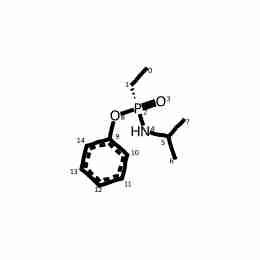 CC[P@](=O)(NC(C)C)Oc1ccccc1